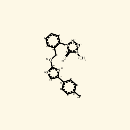 Cn1nnn(-c2ccccc2COc2nc(-c3ccc(F)cc3)cs2)c1=O